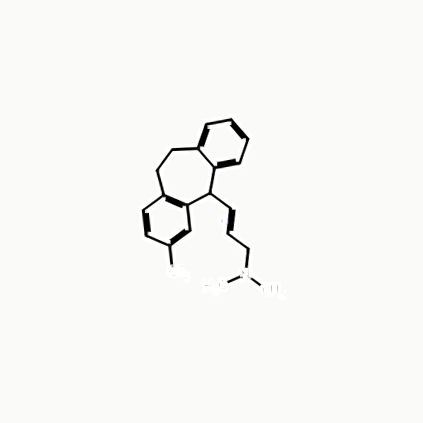 CN(C)C/C=C/C1c2ccccc2CCc2ccc(C(F)(F)F)cc21